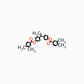 CCC(c1ccc(OC(=O)c2ccc(C)c(C)c2)cc1)c1ccc(OC(=O)c2ccc(C)c(C)c2)cc1